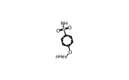 CCCCCCOc1ccc(S([NH])(=O)=O)cc1